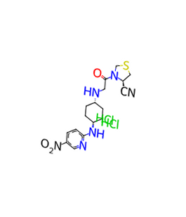 Cl.Cl.N#C[C@@H]1CSCN1C(=O)CN[C@H]1CC[C@H](Nc2ccc([N+](=O)[O-])cn2)CC1